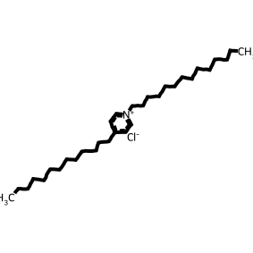 CCCCCCCCCCCCCC[n+]1ccc(CCCCCCCCCCCCC)cc1.[Cl-]